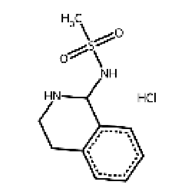 CS(=O)(=O)NC1NCCc2ccccc21.Cl